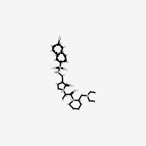 CCN(CC)CC1CCCCN1C(=O)C(C)N1CCC(CNS(=O)(=O)c2ccc3cc(Cl)ccc3c2)C1=O